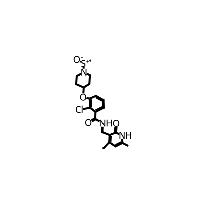 Cc1cc(C)c(CNC(=O)c2cccc(OC3CCN([S+](C)[O-])CC3)c2Cl)c(=O)[nH]1